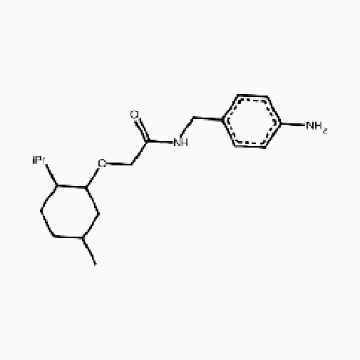 CC1CCC(C(C)C)C(OCC(=O)NCc2ccc(N)cc2)C1